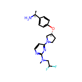 C[C@H](N)c1ccc(O[C@@H]2CCN(c3ccnc(N(C)CC(F)F)n3)C2)cc1